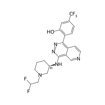 Oc1cc(C(F)(F)F)ccc1-c1nnc(N[C@@H]2CCCN(CC(F)F)C2)c2cnccc12